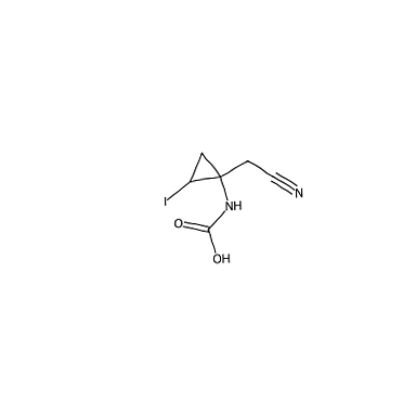 N#CCC1(NC(=O)O)CC1I